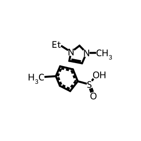 CCN1C=CN(C)C1.Cc1ccc(S(=O)O)cc1